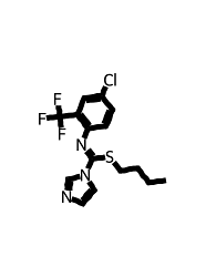 CCCCSC(=Nc1ccc(Cl)cc1C(F)(F)F)n1ccnc1